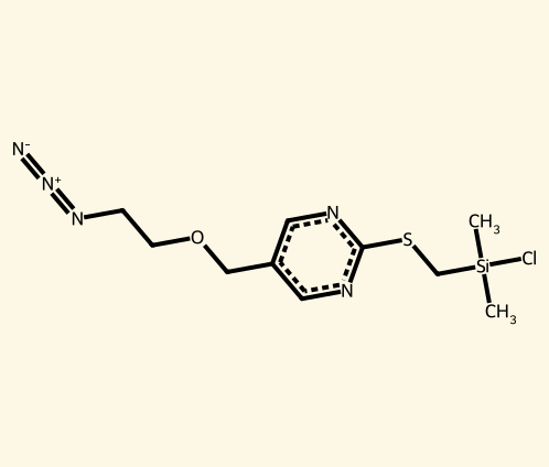 C[Si](C)(Cl)CSc1ncc(COCCN=[N+]=[N-])cn1